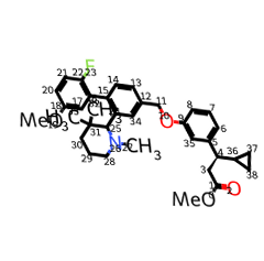 COC(=O)C[C@@H](c1cccc(OCc2ccc(-c3cc(OC)ccc3F)c(C3N(C)CCCC3(C)C)c2)c1)C1CC1